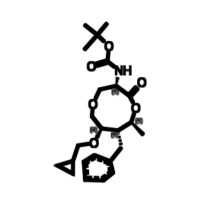 C[C@@H]1OC(=O)[C@@H](NC(=O)OC(C)(C)C)COC[C@H](OCC2CC2)[C@H]1Cc1ccccc1